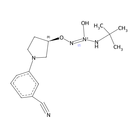 CC(C)(C)N/[N+](O)=N/O[C@@H]1CCN(c2cccc(C#N)c2)C1